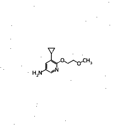 COCCOc1ncc(N)cc1C1CC1